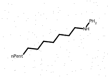 CCCCCCCCCCCCNP